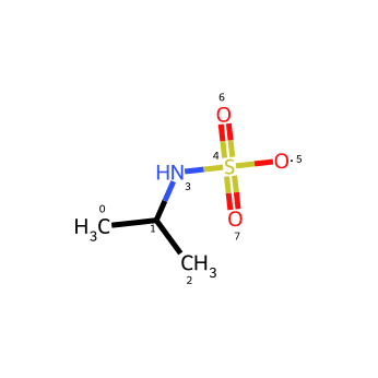 CC(C)NS([O])(=O)=O